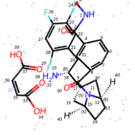 CNC(=O)c1cccc(C(=O)N2[C@@H]3CC[C@H]2C[C@H]([C@H](N)Cc2cc(F)c(F)cc2F)C3)c1.O=C(O)/C=C\C(=O)O